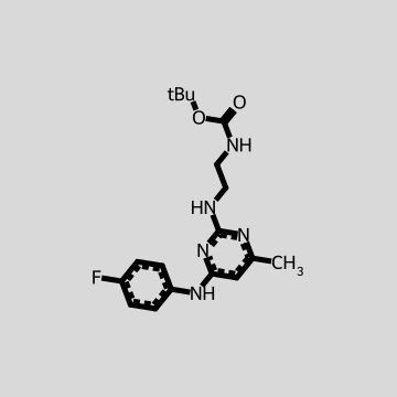 Cc1cc(Nc2ccc(F)cc2)nc(NCCNC(=O)OC(C)(C)C)n1